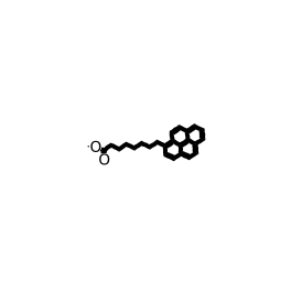 [O]C(=O)CCCCCCCc1ccc2ccc3cccc4ccc1c2c34